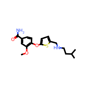 COc1cc(C(N)=O)ccc1Oc1ccc(CNCCC(C)C)s1